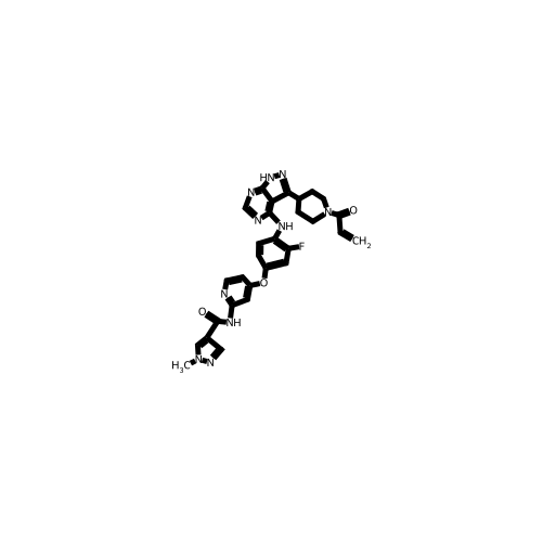 C=CC(=O)N1CCC(c2n[nH]c3ncnc(Nc4ccc(Oc5ccnc(NC(=O)c6cnn(C)c6)c5)cc4F)c23)CC1